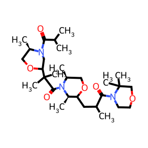 CC(C)C(=O)N1CC(C(C)(C)C(=O)N2[C@H](C)C(CC(C)C(=O)N3CCOCC3(C)C)OC[C@@H]2C)OC[C@H]1C